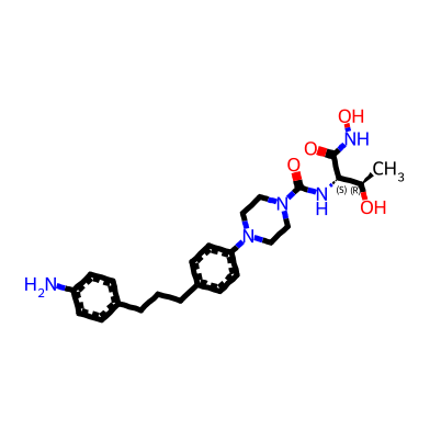 C[C@@H](O)[C@H](NC(=O)N1CCN(c2ccc(CCCc3ccc(N)cc3)cc2)CC1)C(=O)NO